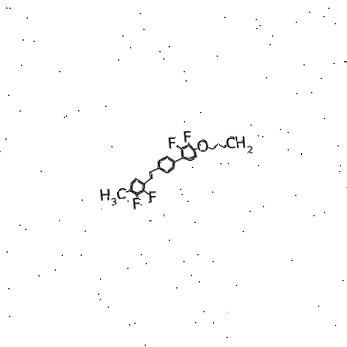 C=CCCOc1ccc(-c2ccc(/C=C/c3ccc(C)c(F)c3F)cc2)c(F)c1F